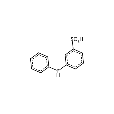 O=S(=O)(O)c1cccc(Pc2ccccc2)c1